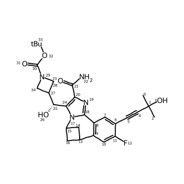 CC(C)(O)C#Cc1cc2c(cc1F)C1CC(C1)n1c-2nc(C(N)=O)c1[C@H](O)C1CN(C(=O)OC(C)(C)C)C1